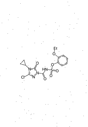 CCOc1ccccc1OS(=O)(=O)NC(=O)n1nc(Cl)n(C2CC2)c1=O